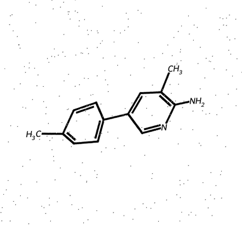 Cc1ccc(-c2cnc(N)c(C)c2)cc1